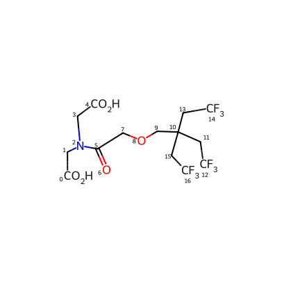 O=C(O)CN(CC(=O)O)C(=O)COCC(CC(F)(F)F)(CC(F)(F)F)CC(F)(F)F